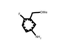 COCc1cc(N)ccc1F